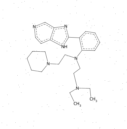 CCN(CC)CCN(CCN1CCCCC1)c1ccccc1-c1nc2cnccc2[nH]1